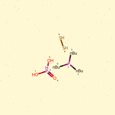 CCCCP(CCCC)CCCC.O=[PH](O)O.SS